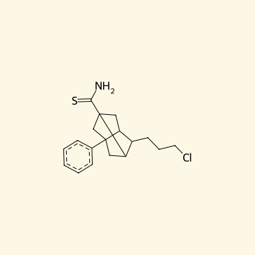 NC(=S)C12CC3C(CCCCl)C1CC3(c1ccccc1)C2